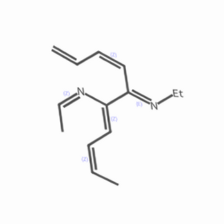 C=C\C=C/C(=N\CC)C(=C/C=C\C)/N=C\C